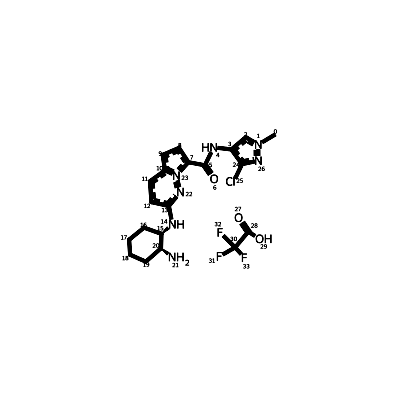 Cn1cc(NC(=O)c2ccc3ccc(N[C@@H]4CCCC[C@@H]4N)nn23)c(Cl)n1.O=C(O)C(F)(F)F